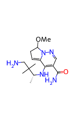 COC1CC=C2C(N[C@H](C)C(C)(C)CN)=C(C(N)=O)C=NN21